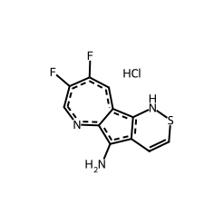 Cl.Nc1c2ncc(F)c(F)cc-2c2c1C=CSN2